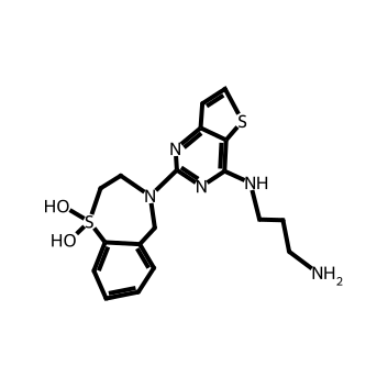 NCCCNc1nc(N2CCS(O)(O)c3ccccc3C2)nc2ccsc12